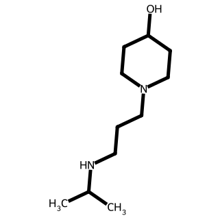 CC(C)NCCCN1CCC(O)CC1